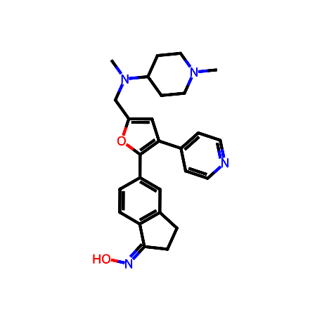 CN1CCC(N(C)Cc2cc(-c3ccncc3)c(-c3ccc4c(c3)CC/C4=N/O)o2)CC1